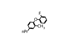 CCCc1ccc(Oc2ccccc2F)c(C)c1